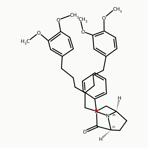 COc1ccc(CCCC(CCCc2ccc(OC)c(OC)c2)CN2C[C@H]3CC[C@@H](C2=O)N3Cc2ccccc2)cc1OC